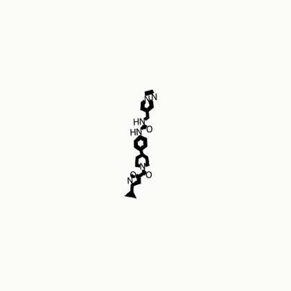 O=C(NCc1ccn2ccnc2c1)Nc1ccc(C2CCN(C(=O)c3cc(C4CC4)no3)CC2)cc1